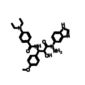 CCN(CC)c1ccc(C(=O)NC(c2ccc(OC)cc2)C(O)C(=O)N(N)c2ccc3[nH]cnc3c2)cc1